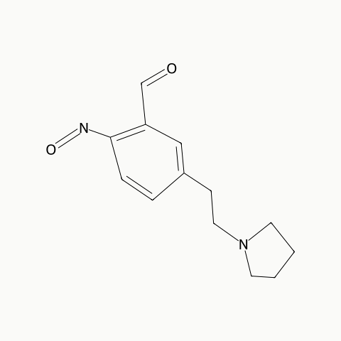 O=Cc1cc(CCN2CCCC2)ccc1N=O